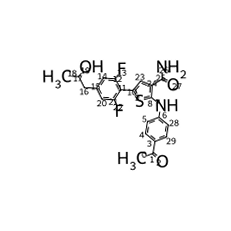 CC(=O)c1ccc(Nc2sc(-c3c(F)cc(CC(C)O)cc3F)cc2C(N)=O)cc1